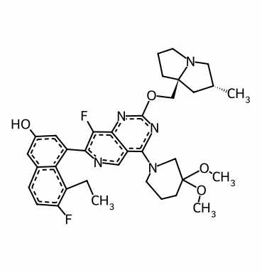 CCc1c(F)ccc2cc(O)cc(-c3ncc4c(N5CCCC(OC)(OC)C5)nc(OC[C@@]56CCCN5C[C@H](C)C6)nc4c3F)c12